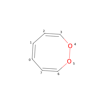 c1cccoocc1